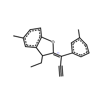 C#C/C(=C1/Oc2ccc(C)cc2C1CC)c1cccc(C)c1